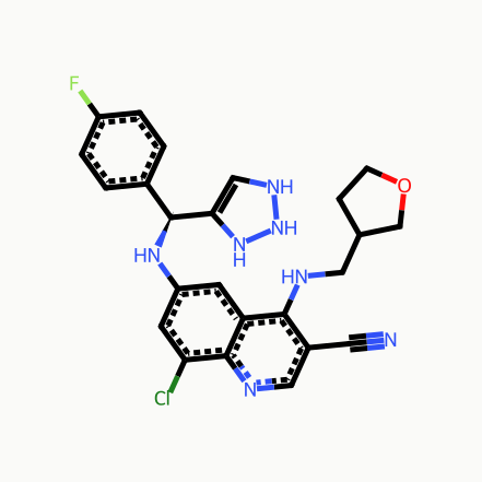 N#Cc1cnc2c(Cl)cc(N[C@H](C3=CNNN3)c3ccc(F)cc3)cc2c1NCC1CCOC1